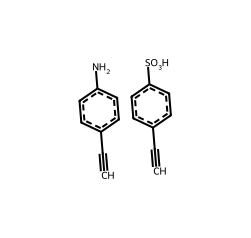 C#Cc1ccc(N)cc1.C#Cc1ccc(S(=O)(=O)O)cc1